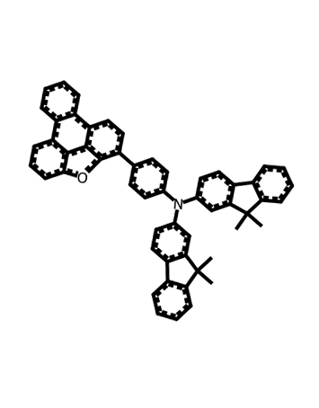 CC1(C)c2ccccc2-c2ccc(N(c3ccc(-c4ccc5c6ccccc6c6cccc7oc4c5c76)cc3)c3ccc4c(c3)C(C)(C)c3ccccc3-4)cc21